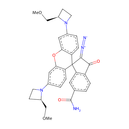 COC[C@H]1CCN1c1ccc2c(c1)Oc1cc(N3CC[C@@H]3COC)ccc1C21C(=[N+]=[N-])C(=O)c2ccc(C(N)=O)cc21